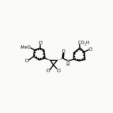 COc1c(Cl)cc([C@H]2[C@H](C(=O)Nc3ccc(Cl)c(C(=O)O)c3)C2(Cl)Cl)cc1Cl